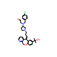 CC(C)(O)c1ccc2c(c1)/C(=C/CCN1CC[C@@H](N(CC=O)Cc3ccc(Cl)cc3)C1)c1cccnc1CO2